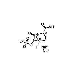 [NH-]C(=O)[C@@H]1CC[C@@H]2CN1C(=O)N2OS(=O)(=O)[O-].[Na+].[Na+]